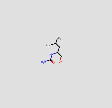 CC(C)CC(CO)NC(N)=O